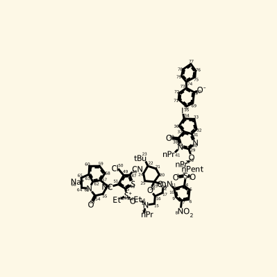 CCCCCS(=O)(=O)c1ccc([N+](=O)[O-])cc1[N+](=O)[O-].CCCN(CC)CC1COC2(CCC(C(C)(C)C)CC2)O1.CCCOc1nc2ccc(I)cc2c(=O)n1CCC.CC[S+]([O-])c1sc(C#N)c(Cl)c1C#N.O=C1CCc2cccc3c2N1CC3.[Na+].[O-]c1ccccc1-c1ccccc1